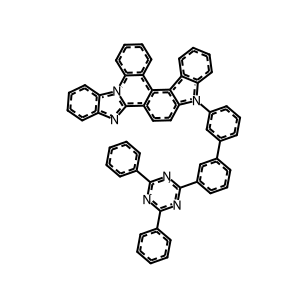 c1ccc(-c2nc(-c3ccccc3)nc(-c3cccc(-c4cccc(-n5c6ccccc6c6c7c8ccccc8n8c9ccccc9nc8c7ccc65)c4)c3)n2)cc1